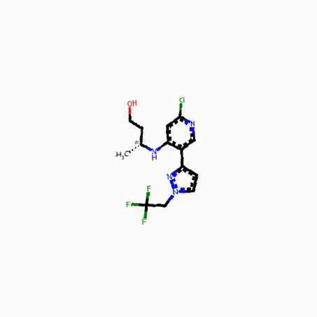 C[C@H](CCO)Nc1cc(Cl)ncc1-c1ccn(CC(F)(F)F)n1